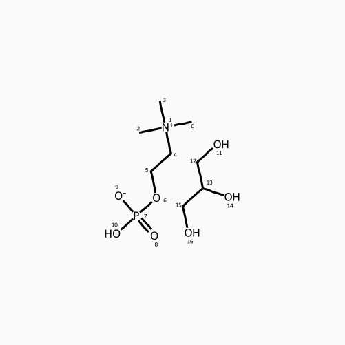 C[N+](C)(C)CCOP(=O)([O-])O.OCC(O)CO